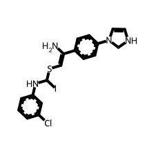 N/C(=C\SC(I)Nc1cccc(Cl)c1)c1ccc(N2C=CNC2)cc1